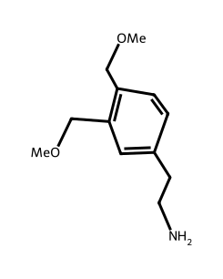 COCc1ccc(CCN)cc1COC